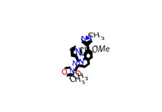 COc1cc2c(cc1-c1cnn(C)c1)-n1c(-c3cccn3C)nc(C(=O)N3CCOCC3(C)C)c1CC2